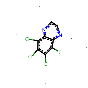 Clc1c(Cl)c(Cl)c2nccnc2c1Cl